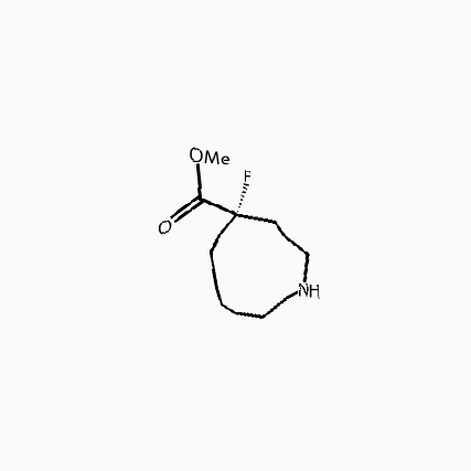 COC(=O)[C@]1(F)CCCNCC1